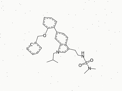 CC(C)Cn1cc(CCNS(=O)(=O)N(C)C)c2ccc(-c3ccccc3OCc3ccccc3)cc21